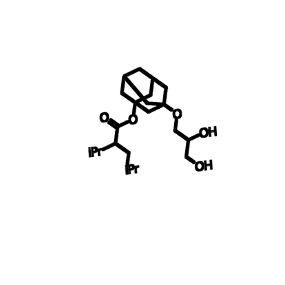 CC(C)CC(C(=O)OC12CC3CC(CC(OCC(O)CO)(C3)C1)C2)C(C)C